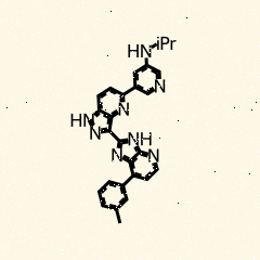 Cc1cccc(-c2ccnc3[nH]c(-c4n[nH]c5ccc(-c6cncc(NC(C)C)c6)nc45)nc23)c1